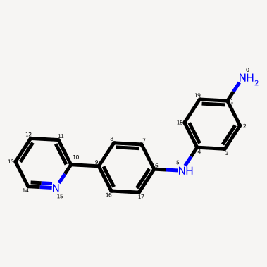 Nc1ccc(Nc2ccc(-c3ccccn3)cc2)cc1